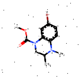 CC(C)OC(=O)N1CC(C)N(C)c2ccc(Br)cc21